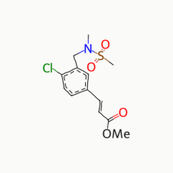 COC(=O)C=Cc1ccc(Cl)c(CN(C)S(C)(=O)=O)c1